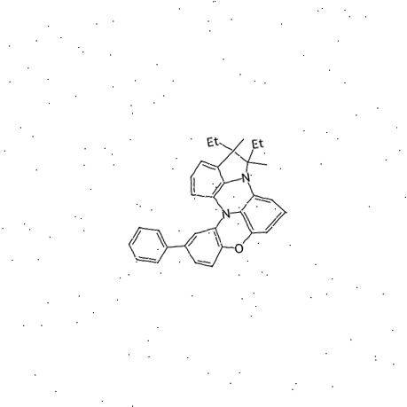 CCC1(C)c2cccc3c2N(c2cccc4c2N3c2cc(-c3ccccc3)ccc2O4)C1(C)CC